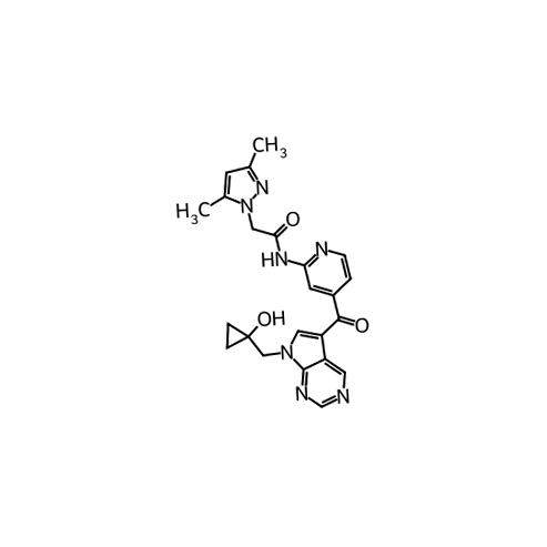 Cc1cc(C)n(CC(=O)Nc2cc(C(=O)c3cn(CC4(O)CC4)c4ncncc34)ccn2)n1